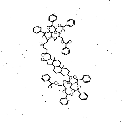 C[C@@H](CCC(=O)CC1C(=O)CC2C3CCC4CC(O[C@@H]5OC(COC(=O)c6ccccc6)[C@H](OC(=O)c6ccccc6)C(OC(=O)c6ccccc6)C5OC(=O)c5ccccc5)CCC4(C)C3CCC12C)CO[C@@H]1OC(COC(=O)c2ccccc2)[C@H](OC(=O)c2ccccc2)[C@H](OC(=O)c2ccccc2)C1OC(=O)c1ccccc1